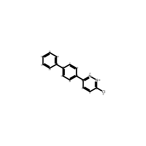 Clc1ccc(-c2ccc(-c3ccccc3)cc2)nn1